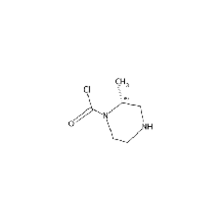 C[C@@H]1CNCCN1C(=O)Cl